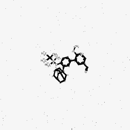 COc1ncc(C=O)cc1-c1ccc(O[Si](C)(C)C(C)(C)C)c(C23CC4CC(CC(C4)C2)C3)c1